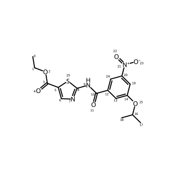 CCOC(=O)c1cnc(NC(=O)c2cc(OC(C)C)cc([N+](=O)[O-])c2)s1